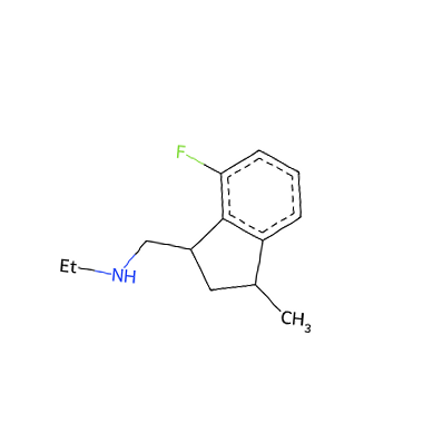 CCNCC1CC(C)c2cccc(F)c21